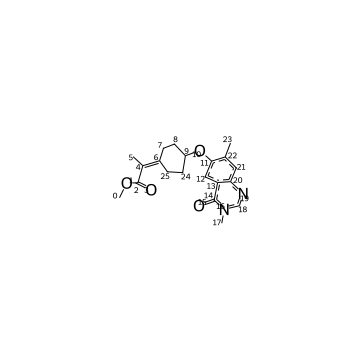 COC(=O)C(C)=C1CCC(Oc2cc3c(=O)n(C)cnc3cc2C)CC1